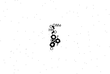 COC(=O)CNC(=O)C[C@H]1CC[C@@](c2cc(F)ccc2F)(S(=O)(=O)c2ccc(Cl)cc2)CC1